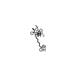 C=CC(=O)O.CCOC(N)=O.OCCCCCC(O)Br